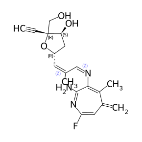 C#C[C@]1(CO)O[C@@H](/C=C(C)\C=N/C2=C(C)C(=C)C=C(F)N=C2N)C[C@@H]1O